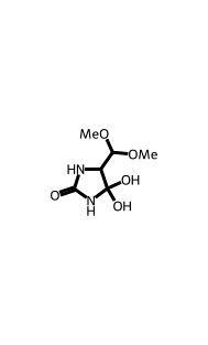 COC(OC)C1NC(=O)NC1(O)O